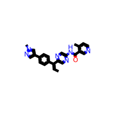 C/C=C(/c1ccc(-c2cnn(C)c2)cc1)c1cnc(NC(=O)c2cnccc2C)cn1